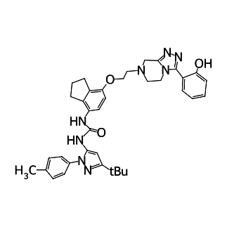 Cc1ccc(-n2nc(C(C)(C)C)cc2NC(=O)Nc2ccc(OCCN3CCn4c(nnc4-c4ccccc4O)C3)c3c2CCC3)cc1